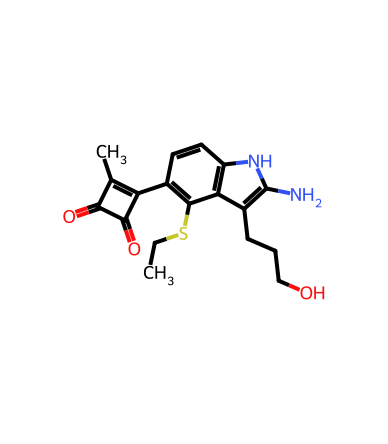 CCSc1c(-c2c(C)c(=O)c2=O)ccc2[nH]c(N)c(CCCO)c12